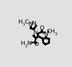 Cn1cc(-n2cc(C(N)=O)c3c4ccccc4n(C)c(=O)c32)cn1